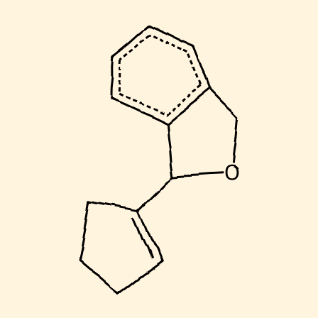 C1=C(C2OCc3ccccc32)CCC1